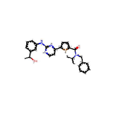 CC(O)c1cccc(Nc2nccc(-c3ccc(C(=O)N(Cc4ccccc4)C(C)C)s3)n2)c1